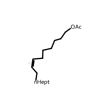 CCCCCCCC/C=C\CCCCCCOC(C)=O